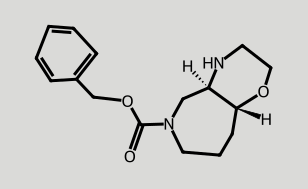 O=C(OCc1ccccc1)N1CCC[C@H]2OCCN[C@@H]2C1